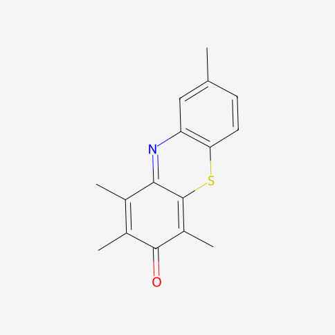 Cc1ccc2sc3c(C)c(=O)c(C)c(C)c-3nc2c1